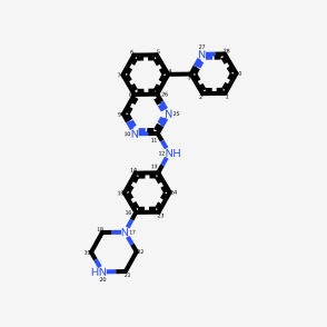 c1ccc(-c2cccc3cnc(Nc4ccc(N5CCNCC5)cc4)nc23)nc1